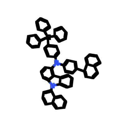 c1ccc([Si](c2ccccc2)(c2ccccc2)c2ccc(N(c3ccc(-c4cccc5ccccc45)cc3)c3cccc4c3c3ccccc3n4-c3cccc4ccccc34)cc2)cc1